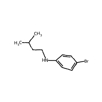 CC(C)CCNc1ccc(Br)cc1